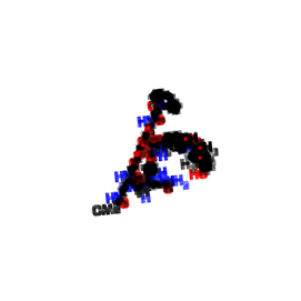 COCC(=O)NCCCC[C@@H](NC(=O)CCOCCOCCOCCOCCNC(=O)CCC(=O)N1Cc2ccccc2C#Cc2ccccc21)C(=O)N[C@H](C(=O)N[C@@H](CCCNC(N)=O)C(=O)Nc1ccc(COC(=O)N[C@@H](CO)C(=O)Nc2ccc3c(c2)[C@@]2(C)CCC[C@](C)(C(=O)NC(=O)[C@@]4(C)CCC[C@]5(C)c6cc(O)ccc6CC[C@@H]45)[C@@H]2CC3)cc1)C(C)C